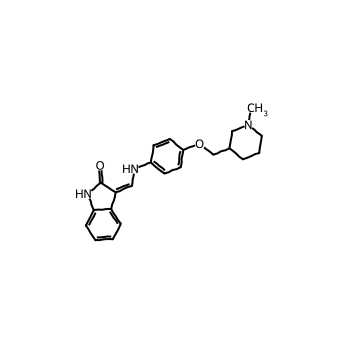 CN1CCCC(COc2ccc(NC=C3C(=O)Nc4ccccc43)cc2)C1